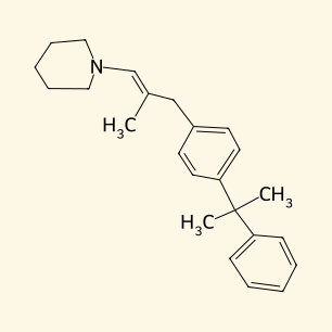 C/C(=C\N1CCCCC1)Cc1ccc(C(C)(C)c2ccccc2)cc1